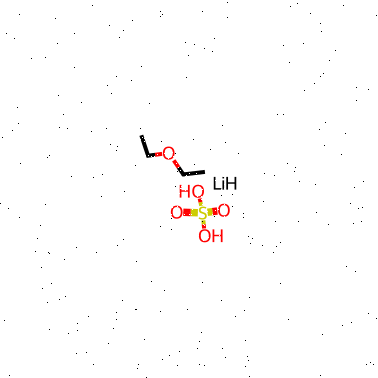 CCOCC.O=S(=O)(O)O.[LiH]